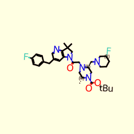 C[C@@H]1CN(CC(=O)N2CC(C)(C)c3ncc(Cc4ccc(F)cc4)cc32)[C@@H](CN2CCC[C@@H](F)C2)CN1C(=O)OC(C)(C)C